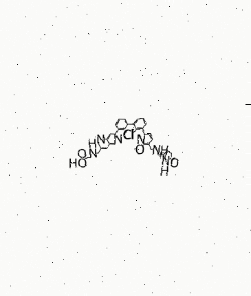 COc1nc(-c2cccc(-c3cccc(-c4cc5ncc(CNCC(=O)O)cc5cn4)c3Cl)c2Cl)ccc1CNC[C@H]1CCC(=O)N1